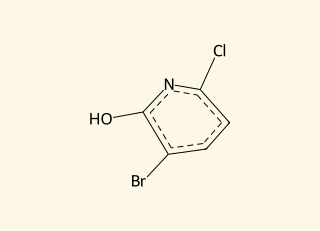 Oc1nc(Cl)ccc1Br